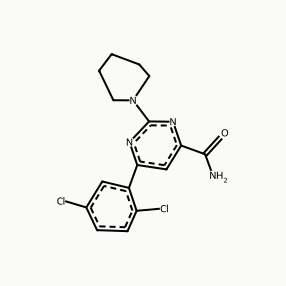 NC(=O)c1cc(-c2cc(Cl)ccc2Cl)nc(N2CCCCC2)n1